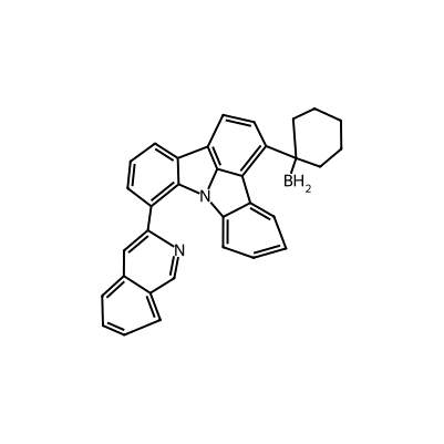 BC1(c2ccc3c4cccc(-c5cc6ccccc6cn5)c4n4c5ccccc5c2c34)CCCCC1